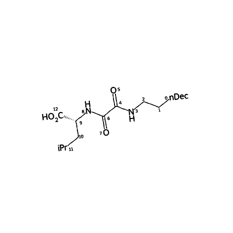 CCCCCCCCCCCCNC(=O)C(=O)N[C@H](CC(C)C)C(=O)O